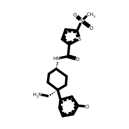 CS(=O)(=O)c1ccc(C(=O)N[C@H]2CC[C@](CN)(c3cccc(Cl)c3)CC2)s1